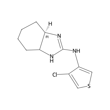 Clc1cscc1NC1=N[C@@H]2CCCCC2N1